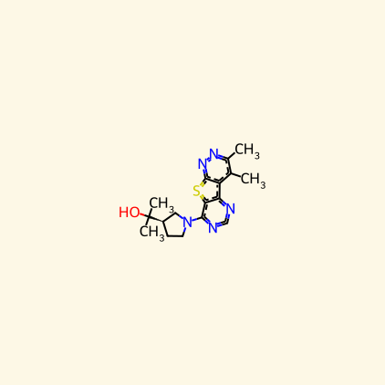 Cc1nnc2sc3c(N4CC[C@@H](C(C)(C)O)C4)ncnc3c2c1C